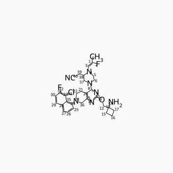 CC(F)=CN1CCN(c2nc(OCC3(N)CCC3)nc3c2CCN(c2cccc4ccc(F)c(Cl)c24)C3)CC1CC#N